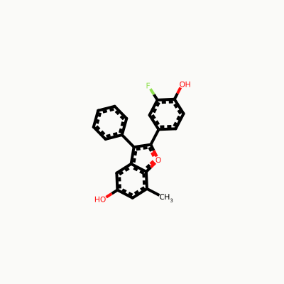 Cc1cc(O)cc2c(-c3ccccc3)c(-c3ccc(O)c(F)c3)oc12